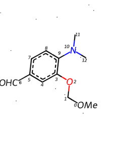 COCOc1cc(C=O)ccc1N(C)C